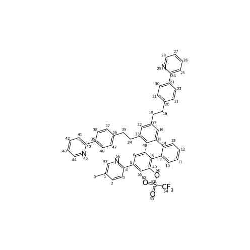 Cc1ccc(-c2ccc(-c3ccccc3-c3cc(CCc4ccc(-c5ccccn5)cc4)cc(CCc4ccc(-c5ccccn5)cc4)c3)c(OS(=O)(=O)C(F)(F)F)c2)nc1